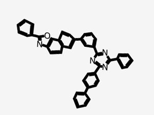 c1ccc(-c2ccc(-c3nc(-c4ccccc4)nc(-c4cccc(-c5ccc6c(ccc7nc(-c8ccccc8)oc76)c5)c4)n3)cc2)cc1